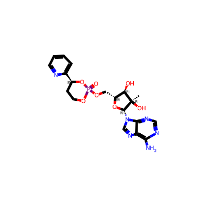 C[C@@]1(O)[C@H](O)[C@@H](COP2(=O)OCC[C@@H](c3ccccn3)O2)O[C@H]1n1cnc2c(N)ncnc21